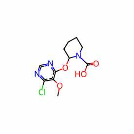 COc1c(Cl)ncnc1OC1CCCCN1C(=O)O